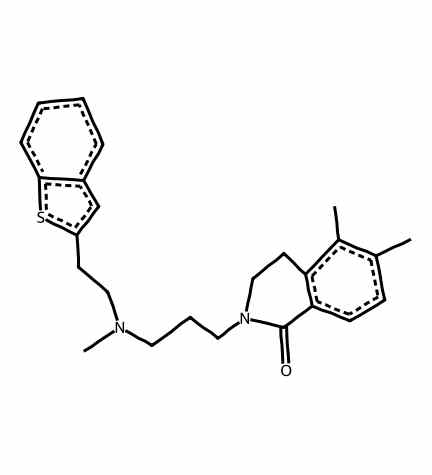 Cc1ccc2c(c1C)CCN(CCCN(C)CCc1cc3ccccc3s1)C2=O